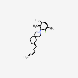 C=C/C=C\C/C=C1\CCCC2(CCN(C3C(=C)C(C)C=CC(C(C)(C)C)=C3F)CC2)C1